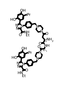 CCNC(=O)c1nnc(-c2cc(C(C)C)c(O)cc2O)n1-c1ccc(CN2CCN(C(=O)C[C@H](N)C(=O)N[C@H](C)C(=O)N3CCN(Cc4ccc(-n5c(C(=O)NCC)nnc5-c5cc(C(C)C)c(O)cc5O)cc4)CC3)CC2)cc1